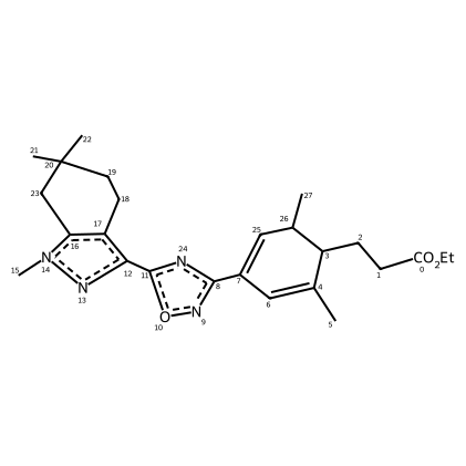 CCOC(=O)CCC1C(C)=CC(c2noc(-c3nn(C)c4c3CCC(C)(C)C4)n2)=CC1C